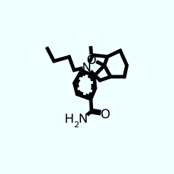 CCCCN1CC2CCCC(C1)C2(OC)c1cccc(C(N)=O)c1